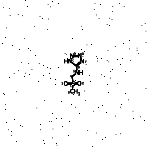 CS(=O)(=O)CNc1nnn[nH]1